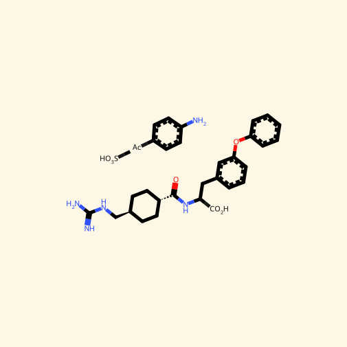 CC(=O)c1ccc(N)cc1.CS(=O)(=O)O.N=C(N)NC[C@H]1CC[C@H](C(=O)NC(Cc2cccc(Oc3ccccc3)c2)C(=O)O)CC1